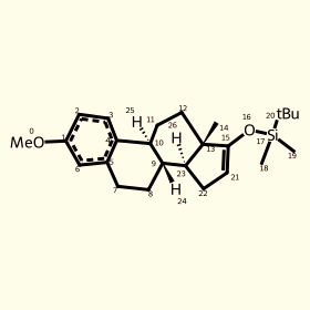 COc1ccc2c(c1)CC[C@@H]1[C@@H]2CC[C@]2(C)C(O[Si](C)(C)C(C)(C)C)=CC[C@@H]12